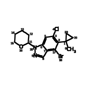 CC1(c2c(Cl)cc3c(cnn3C3CCCCO3)c2Br)CC1